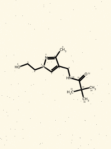 Cc1nn(CCO)cc1CNC(=O)C(C)(C)C